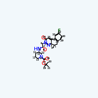 CC(C)c1nn(CC(=O)NC2CCCN(C(=O)OC(C)(C)C)C2)c(=O)cc1-c1cccc(F)c1